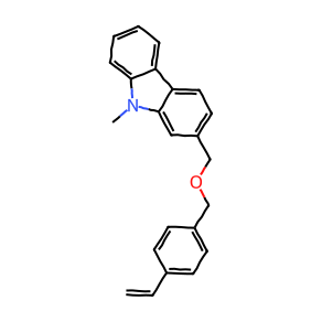 C=Cc1ccc(COCc2ccc3c4ccccc4n(C)c3c2)cc1